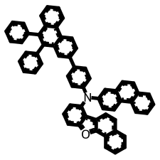 c1ccc(-c2c(-c3ccccc3)c3cc(-c4ccc(N(c5ccc6c(ccc7ccccc76)c5)c5cccc6oc7c8ccccc8ccc7c56)cc4)ccc3c3ccccc23)cc1